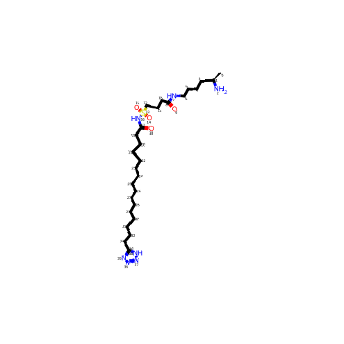 C[C@@H](N)CCCCNC(=O)CCCS(=O)(=O)NC(=O)CCCCCCCCCCCCCCCc1nnn[nH]1